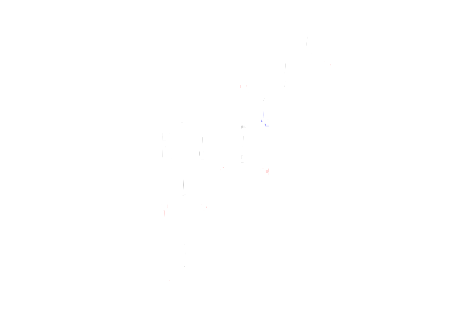 CC(=O)CCC(=O)N[C@H]1Cc2cccc(C(=O)OC(C)CC(C)=O)c2OB1O